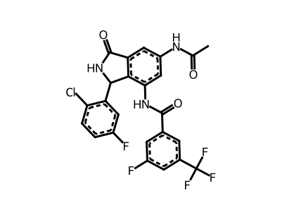 CC(=O)Nc1cc(NC(=O)c2cc(F)cc(C(F)(F)F)c2)c2c(c1)C(=O)NC2c1cc(F)ccc1Cl